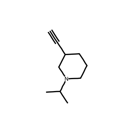 C#CC1CCCN(C(C)C)C1